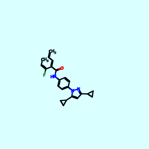 C=C/C=C(C(=O)Nc1ccc(-n2nc(C3CC3)cc2C2CC2)cc1)\C(F)=C/C